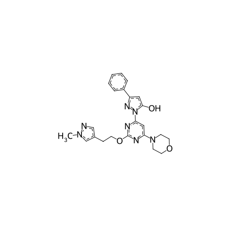 Cn1cc(CCOc2nc(N3CCOCC3)cc(-n3nc(-c4ccccc4)cc3O)n2)cn1